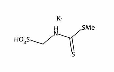 CSC(=S)NCS(=O)(=O)O.[K]